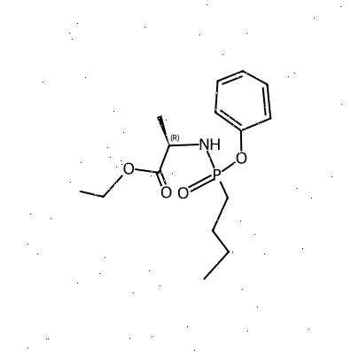 CCCCP(=O)(N[C@H](C)C(=O)OCC)Oc1ccccc1